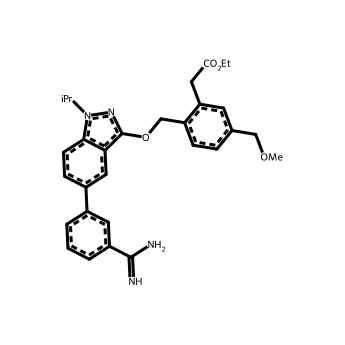 CCOC(=O)Cc1cc(COC)ccc1COc1nn(C(C)C)c2ccc(-c3cccc(C(=N)N)c3)cc12